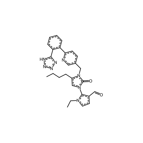 CCCCc1cn(-c2c(C=O)ccn2CC)c(=O)n1Cc1ccc(-c2ccccc2-c2nnn[nH]2)nc1